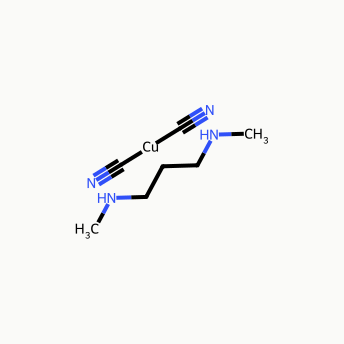 CNCCCNC.N#[C][Cu][C]#N